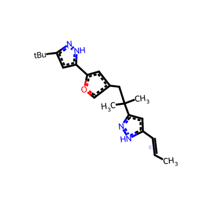 C/C=C/c1cc(C(C)(C)Cc2coc(-c3cc(C(C)(C)C)n[nH]3)c2)n[nH]1